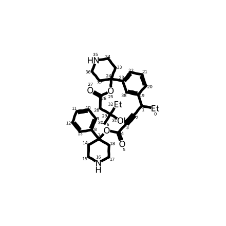 CCC(C#CC(=O)OC1(c2ccccc2)CCNCC1)c1cccc(C2(OC(=O)CC(C)(O)CC)CCNCC2)c1